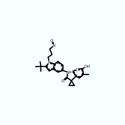 Cc1cc(C2(C(=O)Nc3ccc4c(c3)cc(C(C)(C)C)n4CCCN=O)CC2)ccc1O